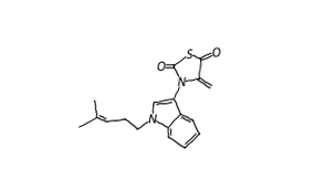 C=C1C(=O)SC(=O)N1c1cn(CCC=C(C)C)c2ccccc12